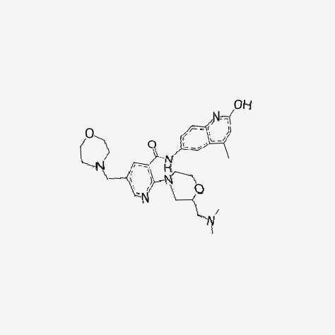 Cc1cc(O)nc2ccc(NC(=O)c3cc(CN4CCOCC4)cnc3N3CCOC(CN(C)C)C3)cc12